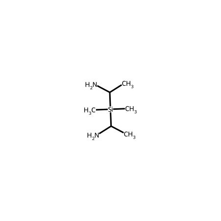 CC(N)[Si](C)(C)C(C)N